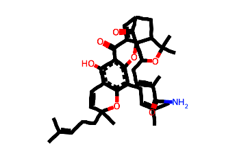 CC(C)=CCCC1(C)C=Cc2c(O)c3c(c(CC=C(C)C)c2O1)OC12C(=CC4CC1C(C)(C)OC2(C/C=C(\C)C(N)=O)C4=O)C3=O